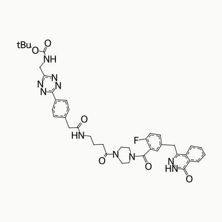 CC(C)(C)OC(=O)NCc1nnc(-c2ccc(CC(=O)NCCCC(=O)N3CCN(C(=O)c4cc(Cc5n[nH]c(=O)c6ccccc56)ccc4F)CC3)cc2)nn1